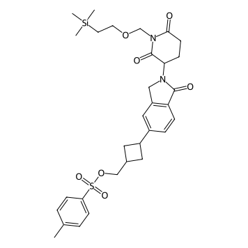 Cc1ccc(S(=O)(=O)OCC2CC(c3ccc4c(c3)CN(C3CCC(=O)N(COCC[Si](C)(C)C)C3=O)C4=O)C2)cc1